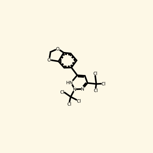 ClC(Cl)(Cl)C1=NN(C(Cl)(Cl)Cl)NC(c2ccc3c(c2)OCO3)=C1